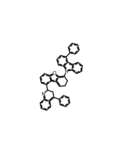 C1=c2c(oc3cccc(C4CC(c5ccccc5)=c5ccccc5=N4)c23)=C(n2c3ccccc3c3c(-c4ccccc4)cccc32)CC1